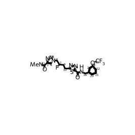 CNC(=O)c1cn(CC(F)CCc2nnc(C(=O)NCc3cccc(OC(F)(F)F)c3)s2)nn1